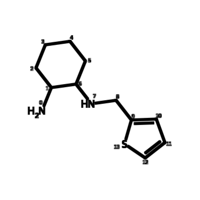 NC1CCCCC1NCc1cccs1